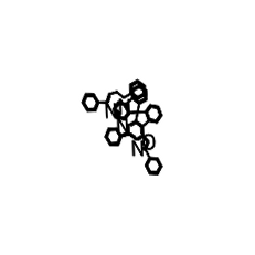 C1=C(c2ccccc2)N=C(n2c3ccccc3c3c4nc(-c5ccccc5)oc4c4c(c32)C2(c3ccccc3-c3ccccc32)c2ccccc2-4)N=C(c2ccccc2)C1